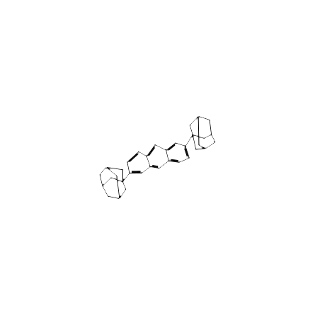 c1cc2cc3cc(C45CC6CC(CC(C6)C4)C5)ccc3cc2cc1C12CC3CC(CC(C3)C1)C2